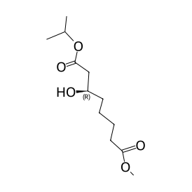 COC(=O)CCCC[C@@H](O)CC(=O)OC(C)C